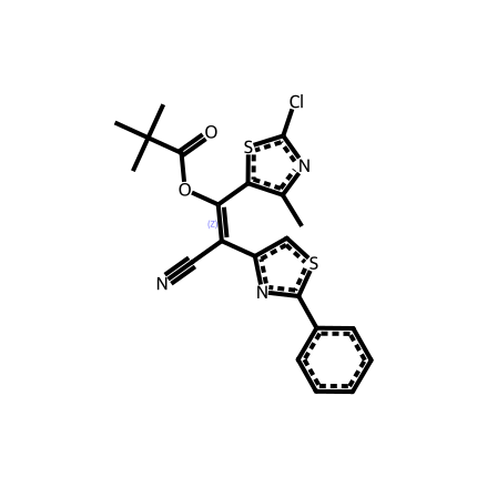 Cc1nc(Cl)sc1/C(OC(=O)C(C)(C)C)=C(/C#N)c1csc(-c2ccccc2)n1